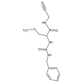 CSCC(NC(=O)NCc1ccccc1)C(=O)NCC#N